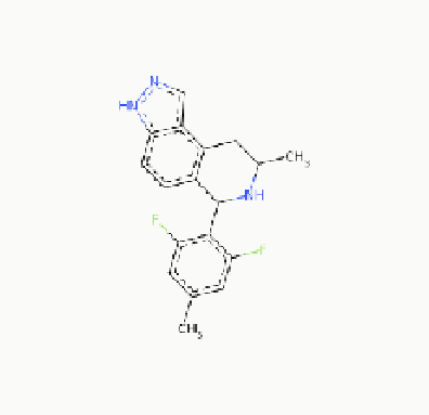 Cc1cc(F)c(C2NC(C)Cc3c2ccc2[nH]ncc32)c(F)c1